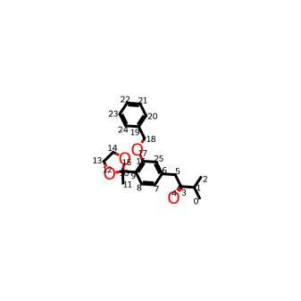 CC(C)C(=O)Cc1ccc(C2(C)OCCO2)c(OCc2ccccc2)c1